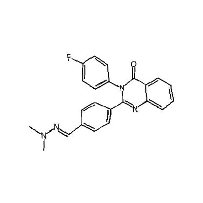 CN(C)N=Cc1ccc(-c2nc3ccccc3c(=O)n2-c2ccc(F)cc2)cc1